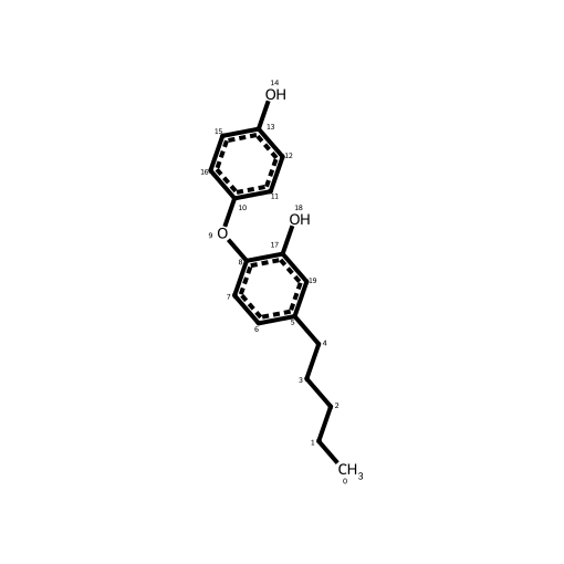 CCCCCc1ccc(Oc2ccc(O)cc2)c(O)c1